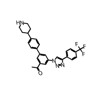 CC(=O)c1cc(-c2ccc(C3CCNCC3)cc2)cc(-n2cc(-c3ccc(C(F)(F)F)cc3)nn2)c1